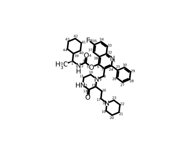 C[C@H](NC(=O)Oc1c(CN2CCNC(=O)C2CCN2CCCCC2)c(-c2ccccc2)nc2ccc(F)cc12)C1CCCCC1